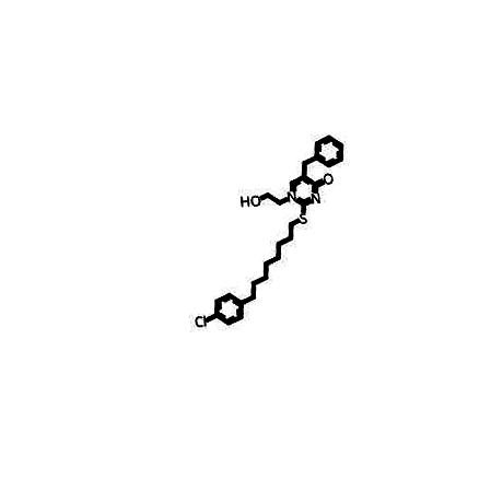 O=c1nc(SCCCCCCCCc2ccc(Cl)cc2)n(CCO)cc1Cc1ccccc1